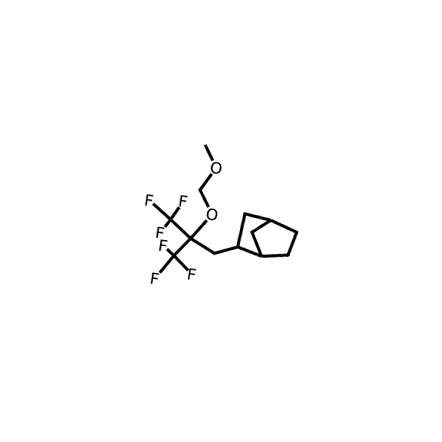 COCOC(CC1CC2CCC1C2)(C(F)(F)F)C(F)(F)F